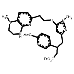 CCOC(=O)CC(Cc1cc(OCCc2ccc3c(n2)NCCN3C)n(C)n1)c1ccc(OC)nc1